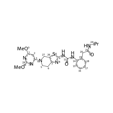 COc1cc(N2CCc3nc(NC(=O)Nc4ccccc4CC(=O)NC(C)C)sc3C2)nc(OC)n1